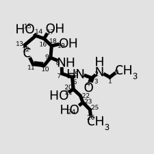 CCNC(=O)NC(CNC1/C=C\CCC(O)C(O)C1O)C(O)CC(O)CC